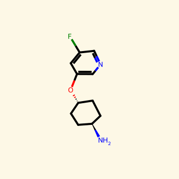 N[C@H]1CC[C@H](Oc2cncc(F)c2)CC1